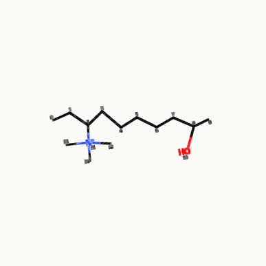 CCC(CCCCCC(C)O)[N+](C)(C)C